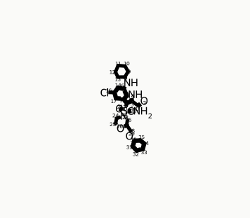 NC(=O)c1[nH]c2c(NC3CCCCC3)cc(Cl)cc2c1S(=O)(=O)N1CCOC(COc2ccccc2)C1